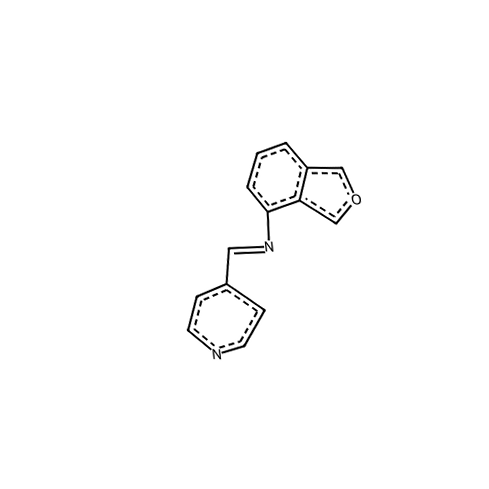 C(=Nc1cccc2cocc12)c1ccncc1